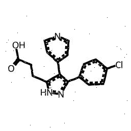 O=C(O)CCc1[nH]nc(-c2ccc(Cl)cc2)c1-c1ccncc1